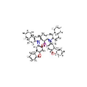 O=P12c3cc4oc5ccccc5c4cc3N(c3ccc4ccccc4c3)c3cccc(c31)N(c1ccc3ccccc3c1)c1cc3c(cc12)oc1ccccc13